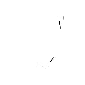 O=C(O)[C@@H]1CC[C@H](O)[C@H]1c1ccccc1